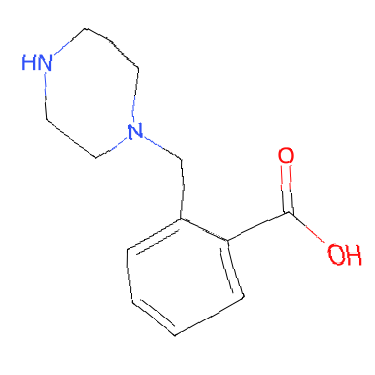 O=C(O)c1ccccc1CN1CCNCC1